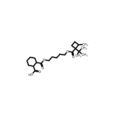 CC1CCC1(C(=O)OCCCCCOC(=O)C1CCCCC1C(=O)O)C(C)(C)C